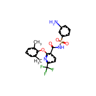 Cc1cccc(C)c1Oc1nc(C(F)(F)F)ccc1C(=O)NS(=O)(=O)c1cccc(N)c1